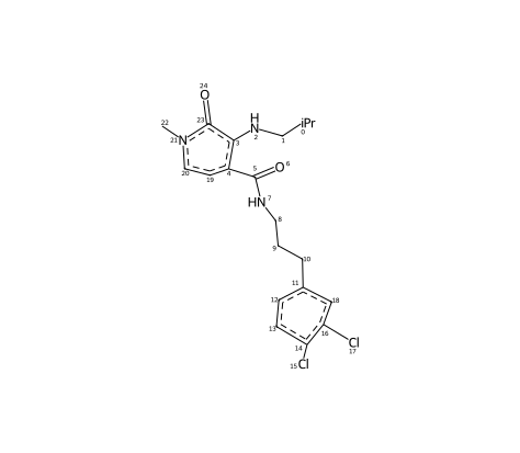 CC(C)CNc1c(C(=O)NCCCc2ccc(Cl)c(Cl)c2)ccn(C)c1=O